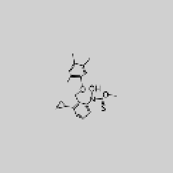 COC(=S)N(O)c1cccc(C2CC2)c1COc1cc(C)c(C)cc1C